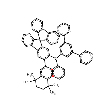 CC1(C)CCC(C)(C)c2cc(-c3cc4c(cc3N(c3ccccc3)c3cc(-c5ccccc5)cc(-c5ccccc5)c3)C3(c5ccccc5-c5ccccc53)c3ccccc3-4)ccc21